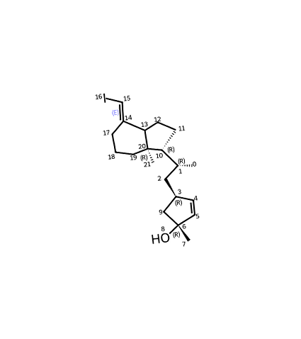 C[C@H](C[C@H]1C=C[C@](C)(O)C1)[C@H]1CCC2/C(=C/I)CCC[C@@]21C